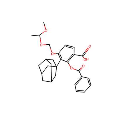 COC(C)OCOc1ccc(C(=O)O)c(OC(=O)c2ccccc2)c1C12CC3CC(CC(C3)C1)C2